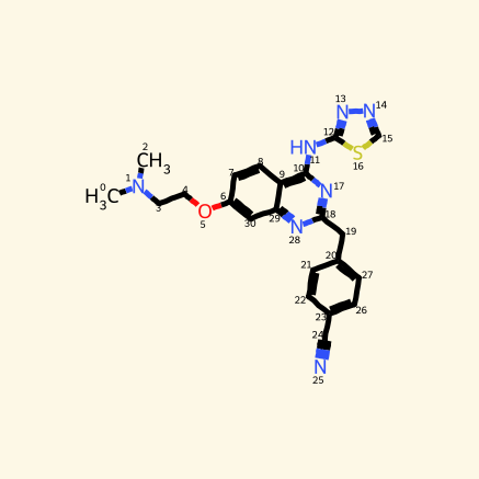 CN(C)CCOc1ccc2c(Nc3nncs3)nc(Cc3ccc(C#N)cc3)nc2c1